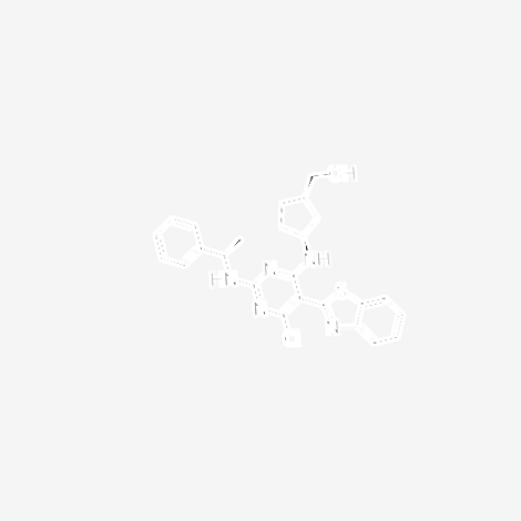 C[C@@H](Nc1nc(Cl)c(-c2nc3ccccc3s2)c(N[C@H]2CC[C@@H](CO)C2)n1)c1ccccc1